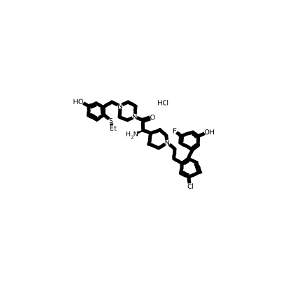 CCSc1ccc(O)cc1CN1CCN(C(=O)[C@H](N)C2CCN(CCc3cc(Cl)ccc3-c3cc(O)cc(F)c3)CC2)CC1.Cl